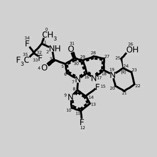 CC(NC(=O)c1cn(-c2ncc(F)cc2F)c2nc(N3CCCC[C@@H]3CO)ccc2c1=O)C(F)(F)C(F)(F)F